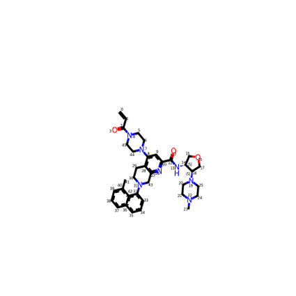 C=CC(=O)N1CCN(c2cc(C(=O)N[C@@H]3COC[C@H]3N3CCN(C)CC3)nc3c2CCN(c2cccc4cccc(C)c24)C3)CC1